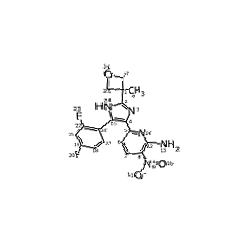 CC1(c2nc(-c3ccc([N+](=O)[O-])c(N)n3)c(-c3ccc(F)cc3F)[nH]2)COC1